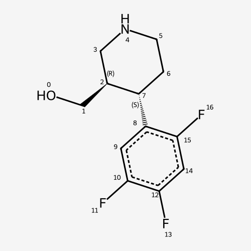 OC[C@H]1CNCC[C@@H]1c1cc(F)c(F)cc1F